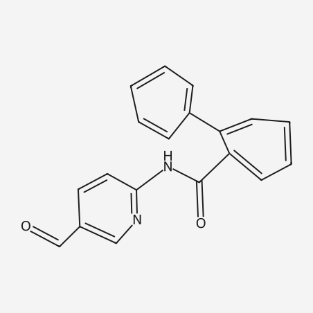 O=Cc1ccc(NC(=O)c2ccccc2-c2ccccc2)nc1